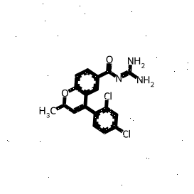 CC1C=C(c2ccc(Cl)cc2Cl)c2cc(C(=O)N=C(N)N)ccc2O1